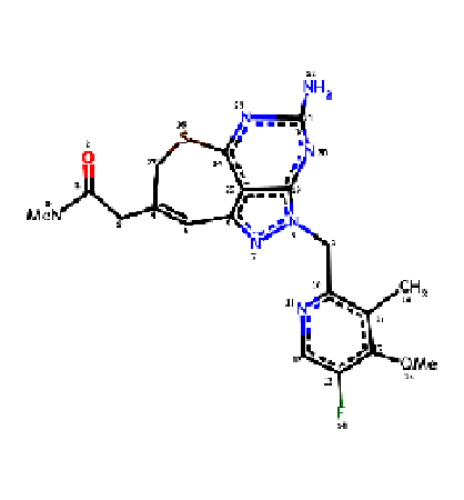 CNC(=O)CC1=Cc2nn(Cc3ncc(F)c(OC)c3C)c3nc(N)nc(c23)SC1